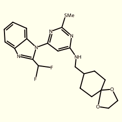 CSc1nc(NCC2CCC3(CC2)OCCO3)cc(-n2c(C(F)F)nc3ccccc32)n1